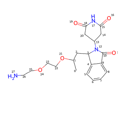 CC(CC1c2ccccc2C(=O)N1C1CC(=O)NC(=O)C1)OCCOCCN